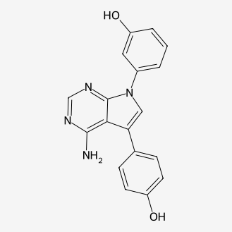 Nc1ncnc2c1c(-c1ccc(O)cc1)cn2-c1cccc(O)c1